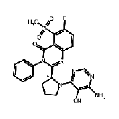 CS(=O)(=O)c1c(F)ccc2nc([C@@H]3CCCN3c3ncnc(N)c3C#N)n(-c3ccccc3)c(=O)c12